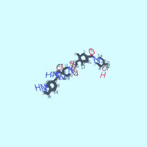 Cc1cc(C(=O)N2CCC(O)(CF)CC2)cc(C)c1/C=C/S(=O)(=O)N1CCC2(CC1)N=C(c1ccc3cc[nH]c3c1)NC2=O